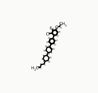 C=CCCC1CCC(C2CC=C(c3ccc(-c4ccc(OCC)c(F)c4Cl)cc3)CC2)CC1